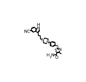 Cc1nc(Sc2ccc(N3CCN(CCCc4c[nH]c5ccc(C#N)cc45)CC3)cc2)sc1C(N)=O